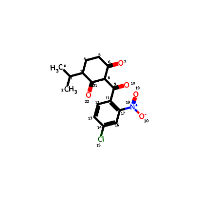 CC(C)C1CCC(=O)C(C(=O)c2ccc(Cl)cc2[N+](=O)[O-])C1=O